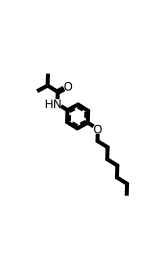 CCCCCCCOc1ccc(NC(=O)C(C)C)cc1